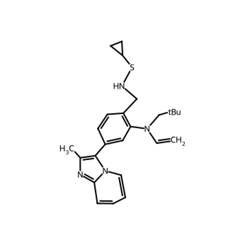 C=CN(CC(C)(C)C)c1cc(-c2c(C)nc3ccccn23)ccc1CNSC1CC1